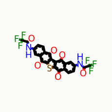 O=C(Nc1ccc2c(=O)c3c(sc4c(=O)c5ccc(NC(=O)C(F)(F)F)cc5c(=O)c43)c(=O)c2c1)C(F)(F)F